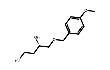 COc1ccc(COC[C@@H](O)CCO)cc1